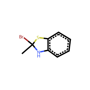 CC1(Br)Nc2ccccc2S1